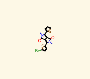 CN1C(=O)C2=C(c3ccc(Br)s3)N(C)C(=O)C2=C1c1cccs1